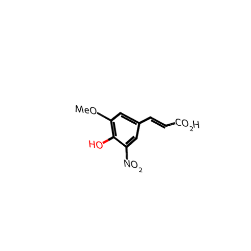 COc1cc(/C=C/C(=O)O)cc([N+](=O)[O-])c1O